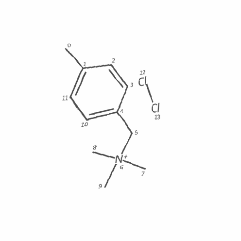 Cc1ccc(C[N+](C)(C)C)cc1.ClCl